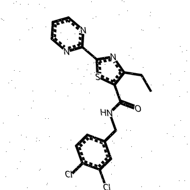 CCc1nc(-c2ncccn2)sc1C(=O)NCc1ccc(Cl)c(Cl)c1